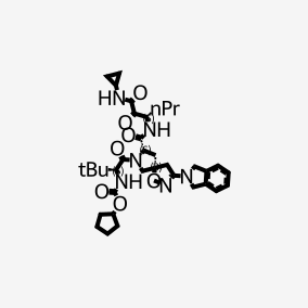 CCC[C@H](NC(=O)[C@@H]1C[C@@]2(CC(N3Cc4ccccc4C3)=NO2)CN1C(=O)[C@@H](NC(=O)OC1CCCC1)C(C)(C)C)C(=O)C(=O)NC1CC1